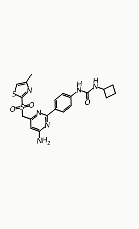 Cc1csc(S(=O)(=O)Cc2cc(N)nc(-c3ccc(NC(=O)NC4CCC4)cc3)n2)n1